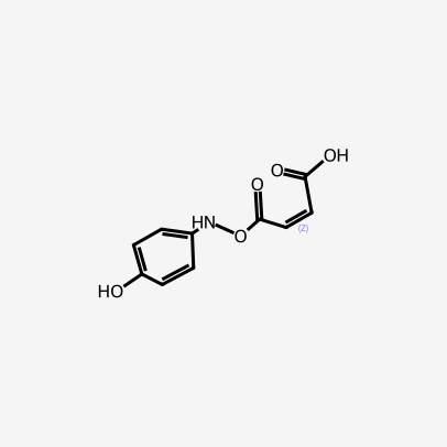 O=C(O)/C=C\C(=O)ONc1ccc(O)cc1